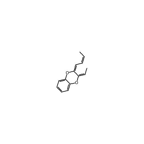 C\C=C/C=C1/Oc2ccccc2O/C1=C/C